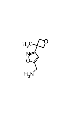 CC1(c2cc(CN)on2)COC1